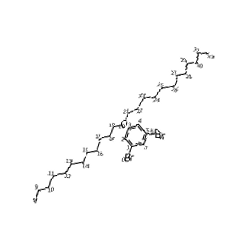 Brc1cccc(Br)c1.CCCCCCCCCCCCOCCCCCCCCCCCC